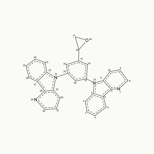 c1ccc2c(c1)c1ncccc1n2-c1cc(C2CO2)cc(-n2c3ccccc3c3ncccc32)c1